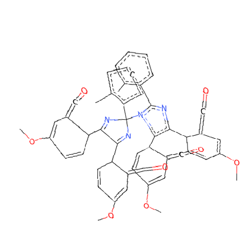 COC1=CC(=C=O)C(C2=NC(c3ccccc3C)(n3c(-c4ccccc4C)nc(C4C=CC(OC)=CC4=C=O)c3C3C=CC(OC)=CC3=C=O)N=C2C2C=CC(OC)=CC2=C=O)C=C1